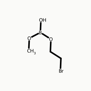 COB(O)OCCBr